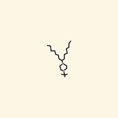 CCCCCCCC(CCCCCCC)N1CCN(C(C)(C)C)CC1